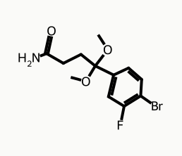 COC(CCC(N)=O)(OC)c1ccc(Br)c(F)c1